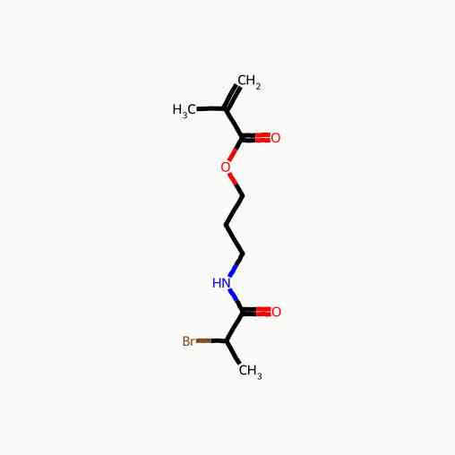 C=C(C)C(=O)OCCCNC(=O)C(C)Br